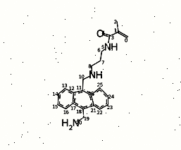 C=C(C)C(=O)NCCCNCc1c2ccccc2c(CN)c2ccccc12